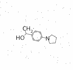 [CH2]C(O)c1ccc(N2CCCC2)cc1